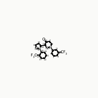 O=c1ccn(-c2cccc(C(F)(F)F)c2)nc1-c1ccnn1-c1ccccc1C(F)(F)F